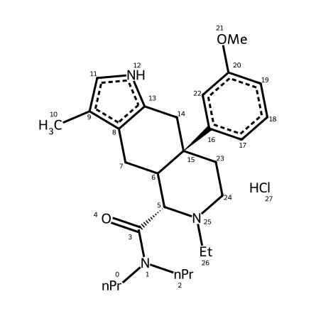 CCCN(CCC)C(=O)[C@@H]1C2Cc3c(C)c[nH]c3C[C@]2(c2cccc(OC)c2)CCN1CC.Cl